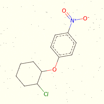 O=[N+]([O-])c1ccc(OC2CCCCC2Cl)cc1